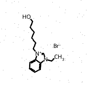 CCn1c[n+](CCCCCCO)c2ccccc21.[Br-]